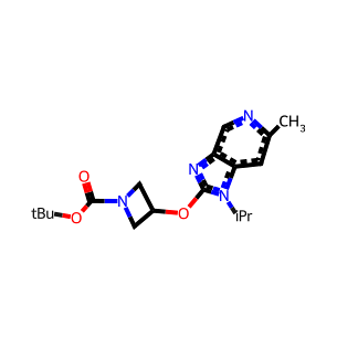 Cc1cc2c(cn1)nc(OC1CN(C(=O)OC(C)(C)C)C1)n2C(C)C